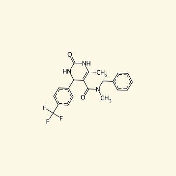 CC1=C(C(=O)N(C)Cc2ccccc2)C(c2ccc(C(F)(F)F)cc2)NC(=O)N1